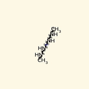 CCCNCCCNC/C=C/CNCCCNCCC